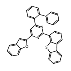 c1ccc(-c2ccccc2-c2cc(-c3cc4ccccc4o3)nc(-c3cccc4c3sc3ccccc34)n2)cc1